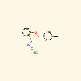 Cc1ccc(COc2ccccc2CNCl)cc1.Cl